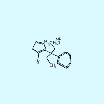 CCC(CC)(C1=[C]([Zr])CC=C1)c1ccccc1.Cl.Cl